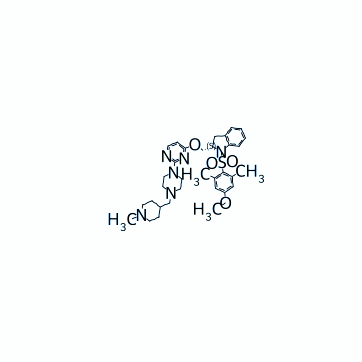 COc1cc(C)c(S(=O)(=O)N2c3ccccc3C[C@H]2COc2ccnc(N3CCN(CC4CCN(C)CC4)CC3)n2)c(C)c1